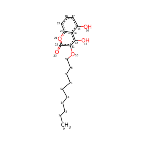 CCCCCCCCCCOc1c(O)c2c(O)cccc2oc1=O